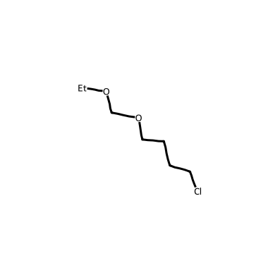 CCOCOCCCCCl